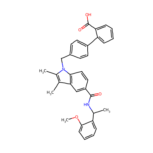 COc1ccccc1C(C)NC(=O)c1ccc2c(c1)c(C)c(C)n2Cc1ccc(-c2ccccc2C(=O)O)cc1